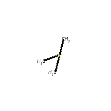 CCCCCCCCCCCC[S+](CCCCCCCCCCCC)CCCCCCCCCCCC